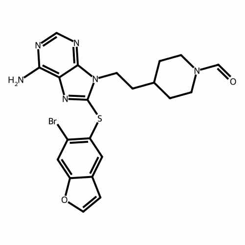 Nc1ncnc2c1nc(Sc1cc3ccoc3cc1Br)n2CCC1CCN(C=O)CC1